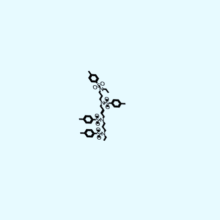 CCN(CCCN(CC=CCN(CCCN(CC)S(=O)(=O)c1ccc(C)cc1)S(=O)(=O)c1ccc(C)cc1)S(=O)(=O)c1ccc(C)cc1)S(=O)(=O)c1ccc(C)cc1